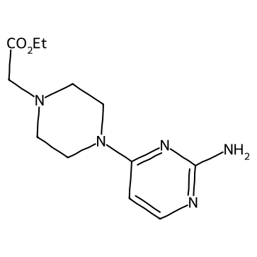 CCOC(=O)CN1CCN(c2ccnc(N)n2)CC1